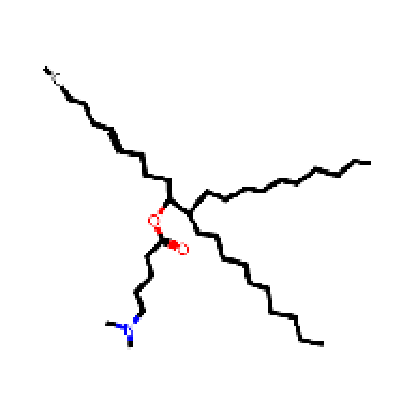 CCCCCC=CCCCC(OC(=O)CCCCN(C)C)C(CCCCCCCCCC)CCCCCCCCCC